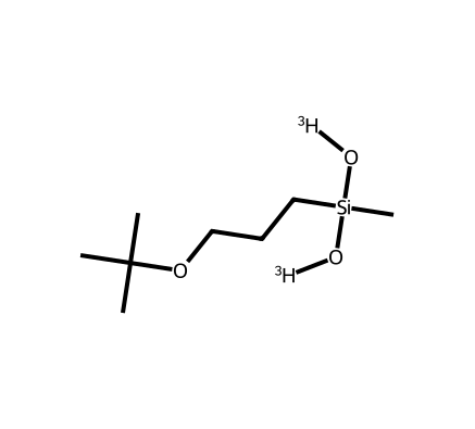 [3H]O[Si](C)(CCCOC(C)(C)C)O[3H]